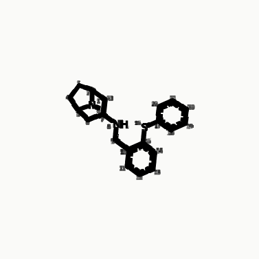 CN1C2CCC1CC(NCc1ccccc1Sc1ccccc1)C2